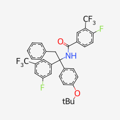 CC(C)(C)Oc1ccc(C(Cc2ccccc2)(NC(=O)c2ccc(F)c(C(F)(F)F)c2)c2cc(F)cc(C(F)(F)F)c2)cc1